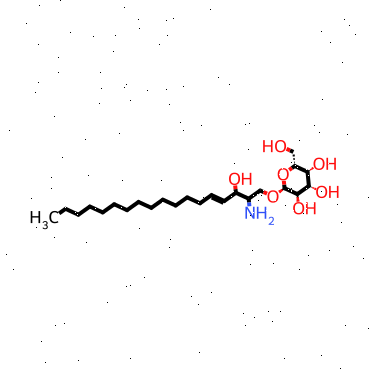 CCCCCCCCCCCCCC=CC(O)C(N)CO[C@H]1O[C@H](CO)[C@H](O)[C@H](O)[C@H]1O